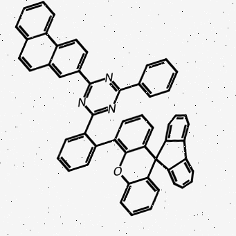 c1ccc(-c2nc(-c3ccc4c(ccc5ccccc54)c3)nc(-c3ccccc3-c3cccc4c3Oc3ccccc3C43c4ccccc4-c4ccccc43)n2)cc1